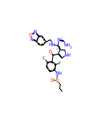 CCC[S+]([O-])Nc1ccc(F)c(C(=O)C2=CNC/C2=C(\N=C/N)NCc2ccc3nonc3c2)c1F